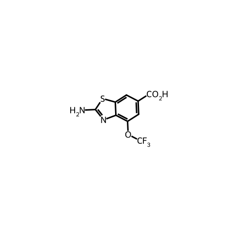 Nc1nc2c(OC(F)(F)F)cc(C(=O)O)cc2s1